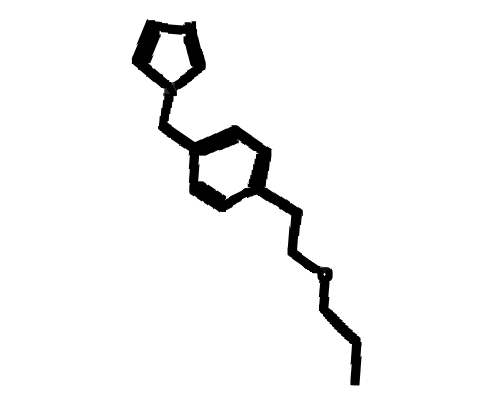 CCCOCCc1ccc(Cn2ccnc2)cc1